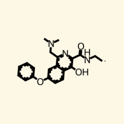 [CH2]CNC(=O)c1nc(CN(C)C)c2cc(Oc3ccccc3)ccc2c1O